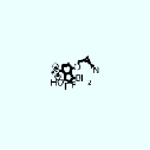 BC1c2c(OCC3CC3C#N)ccc(S(C)(=O)=O)c2C(O)C1(F)F